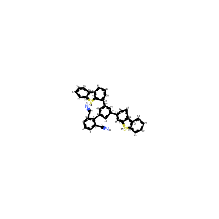 N#Cc1cccc(C#N)c1-c1cc(-c2ccc3c(c2)sc2ccccc23)cc(-c2cccc3c2sc2ccccc23)c1